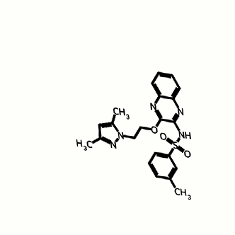 Cc1cccc(S(=O)(=O)Nc2nc3ccccc3nc2OCCn2nc(C)cc2C)c1